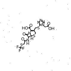 O=C(O)Cn1nnnc1SCC1=C(C(=O)O)N2C(=O)C(NC(=O)CSC(F)(F)F)[C@H]2SC1